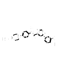 CN1CCN(c2ccc(NC(=O)c3cc(-c4ccc(Cl)c(Cl)c4)ncn3)cc2)CC1